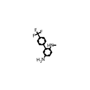 CNc1ccc(N)cc1-c1ccc(C(F)(F)F)cc1